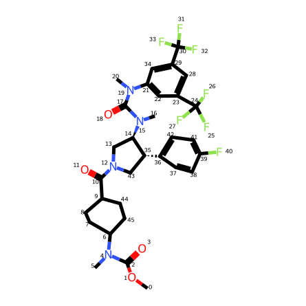 COC(=O)N(C)C1CCC(C(=O)N2C[C@@H](N(C)C(=O)N(C)c3cc(C(F)(F)F)cc(C(F)(F)F)c3)[C@H](c3ccc(F)cc3)C2)CC1